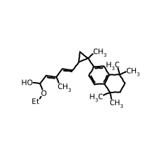 CCOC(O)/C=C(C)/C=C/C1CC1(C)c1ccc2c(c1)C(C)(C)CCC2(C)C